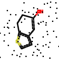 OC1=Cc2ccsc2CC1